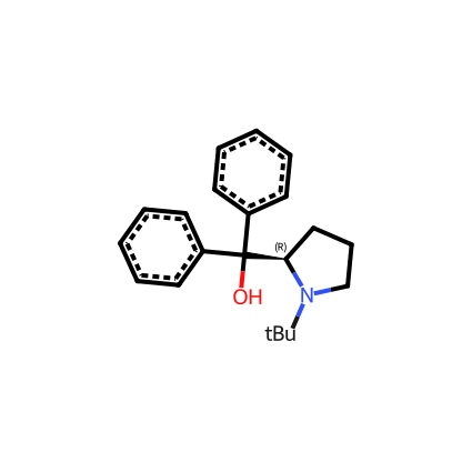 CC(C)(C)N1CCC[C@@H]1C(O)(c1ccccc1)c1ccccc1